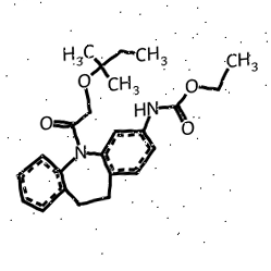 CCOC(=O)Nc1ccc2c(c1)N(C(=O)COC(C)(C)CC)c1ccccc1CC2